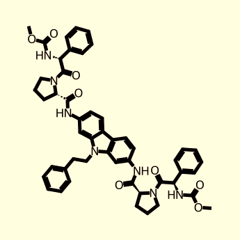 COC(=O)N[C@@H](C(=O)N1CCC[C@H]1C(=O)Nc1ccc2c3ccc(NC(=O)[C@@H]4CCCN4C(=O)[C@H](NC(=O)OC)c4ccccc4)cc3n(CCc3ccccc3)c2c1)c1ccccc1